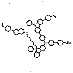 C=Cc1ccc(-c2ccc3cc(OCCCCCCC4(C5=CCCC=C5)C5=CC(N(c6ccc(C7=CCC(C(C)(C)C)C=C7)cc6)c6ccc(-c7ccc8c(c7)C7CC(C9=CCC(C=C)CC9)=CC=C7N8c7ccccc7)cc6)CCC5C5=C4C=CCC5)ccc3c2)cc1